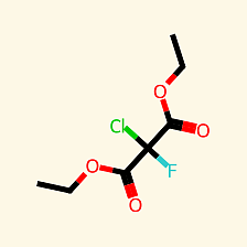 CCOC(=O)C(F)(Cl)C(=O)OCC